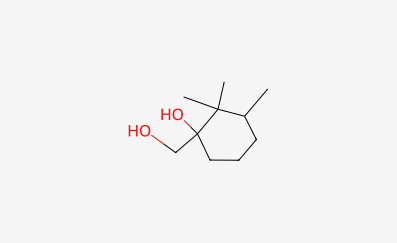 CC1CCCC(O)(CO)C1(C)C